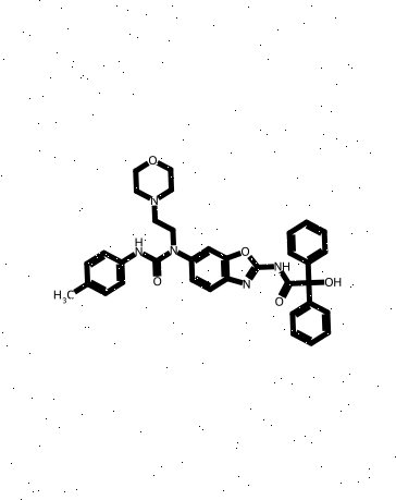 Cc1ccc(NC(=O)N(CCN2CCOCC2)c2ccc3nc(NC(=O)C(O)(c4ccccc4)c4ccccc4)oc3c2)cc1